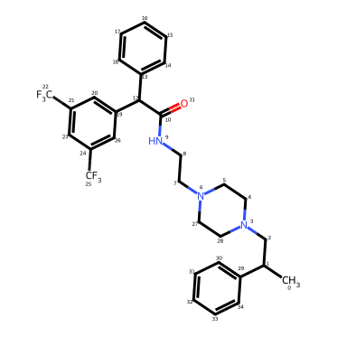 CC(CN1CCN(CCNC(=O)C(c2ccccc2)c2cc(C(F)(F)F)cc(C(F)(F)F)c2)CC1)c1ccccc1